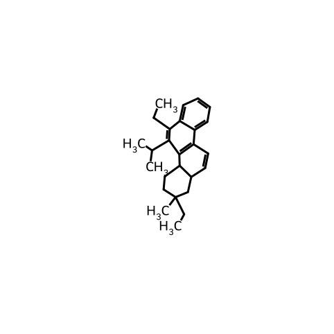 CCc1c(C(C)C)c2c(c3ccccc13)C=CC1CC(C)(CC)CCC21